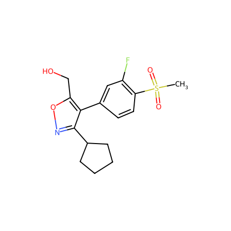 CS(=O)(=O)c1ccc(-c2c(C3CCCC3)noc2CO)cc1F